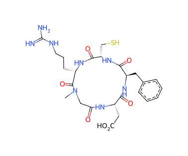 CN1CC(=O)N[C@@H](CC(=O)O)C(=O)N[C@H](Cc2ccccc2)C(=O)N[C@@H](CS)C(=O)N[C@@H](CCCNC(=N)N)C1=O